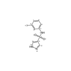 O=S(=O)(Nc1cccc(I)c1)c1cn[nH]c1